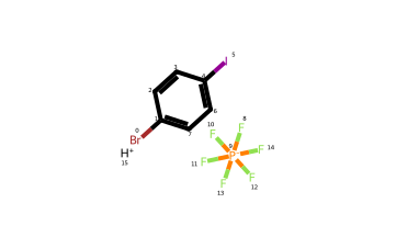 Brc1ccc(I)cc1.F[P-](F)(F)(F)(F)F.[H+]